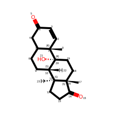 C[C@]12C=CC(=O)CC1CC[C@H]1[C@@H]3CCC(=O)[C@@]3(C)CC[C@@]12O